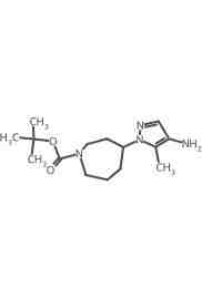 Cc1c(N)cnn1C1CCCN(C(=O)OC(C)(C)C)CC1